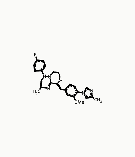 COc1cc(/C=C2\OCCN3C2=NC(C)=CN3c2ccc(F)cc2)ccc1-n1cnc(C)c1